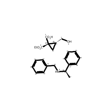 CCOC(=O)[C@]1(C(=O)O)C[C@H]1CO.C[C@@H](NCc1ccccc1)c1ccccc1